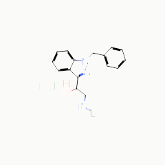 CCNCC(O)c1nn(Cc2ccccc2)c2ccccc12.Cl